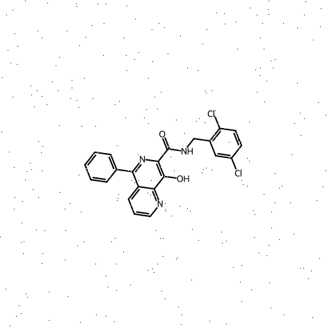 O=C(NCc1cc(Cl)ccc1Cl)c1nc(-c2ccccc2)c2cccnc2c1O